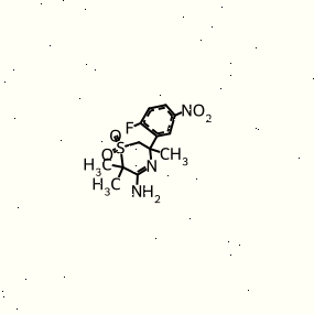 CC1(c2cc([N+](=O)[O-])ccc2F)CS(=O)(=O)C(C)(C)C(N)=N1